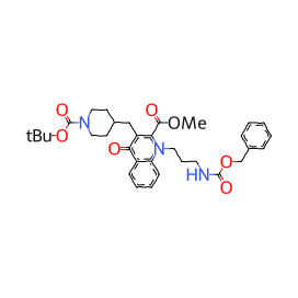 COC(=O)c1c(CC2CCN(C(=O)OC(C)(C)C)CC2)c(=O)c2ccccc2n1CCCNC(=O)OCc1ccccc1